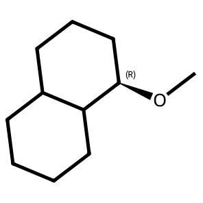 CO[C@@H]1CCCC2CCCCC21